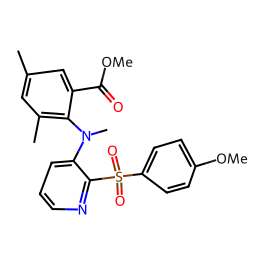 COC(=O)c1cc(C)cc(C)c1N(C)c1cccnc1S(=O)(=O)c1ccc(OC)cc1